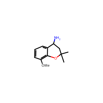 COc1cccc2c1OC(C)(C)CC2N